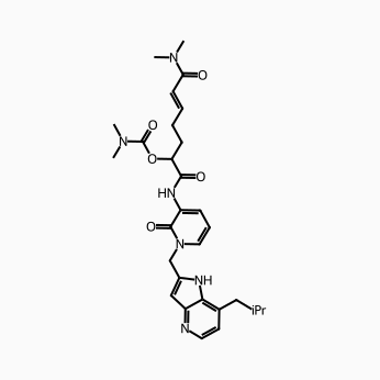 CC(C)Cc1ccnc2cc(Cn3cccc(NC(=O)C(CC/C=C/C(=O)N(C)C)OC(=O)N(C)C)c3=O)[nH]c12